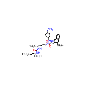 CNc1cc2ccccc2cc1C[C@@H](NC(=O)C1CCC(CN)CC1)C(=O)NCCCC[C@H](NC(=O)N[C@@H](CCC(=O)O)C(=O)O)C(=O)O